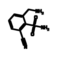 N#Cc1cccc(CN)c1S(N)(=O)=O